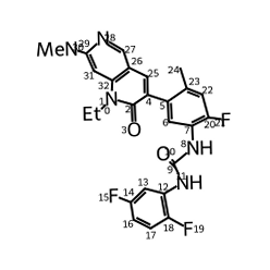 CCn1c(=O)c(-c2cc(NC(=O)Nc3cc(F)ccc3F)c(F)cc2C)cc2cnc(NC)cc21